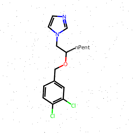 CCCCCC(Cn1ccnc1)OCc1ccc(Cl)c(Cl)c1